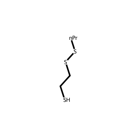 CCCSSCCS